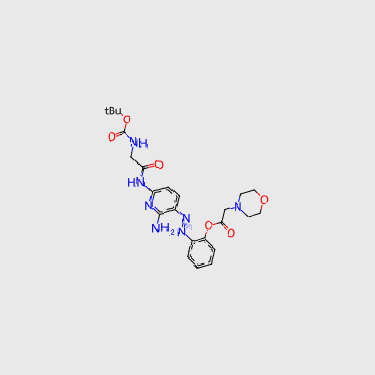 CC(C)(C)OC(=O)NCC(=O)Nc1ccc(/N=N/c2ccccc2OC(=O)CN2CCOCC2)c(N)n1